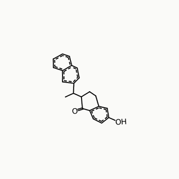 CC(c1ccc2ccccc2c1)C1CCc2cc(O)ccc2C1=O